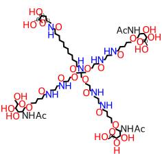 CC(=O)NC1C(OCCCCC(=O)NCCCNC(=O)CCOCC(COCCC(=O)NCCCNC(=O)CCCCOC2O[C@H](CO)C(O)C(O)C2NC(C)=O)(COCCC(=O)NCCCNC(=O)CCCCOC2O[C@H](CO)C(O)C(O)C2NC(C)=O)NC(=O)CCCCCCCCCCC(=O)NC[C@@H]2C[C@H](O)[C@@H](CO)O2)OC(CO)C(O)C1O